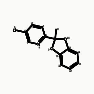 CC1(c2ccc(Cl)cn2)Oc2ccccc2O1